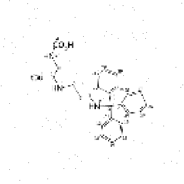 CC(C)(C)C(CNC(=O)O)NCCCNC(c1ccccc1)(c1ccccc1)c1ccccc1